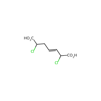 O=C(O)C(Cl)C=CCC(Cl)C(=O)O